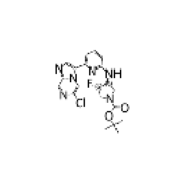 CC(C)(C)OC(=O)N1C[C@H](Nc2cccc(-c3cnc4cnc(Cl)cn34)n2)[C@@H](F)C1